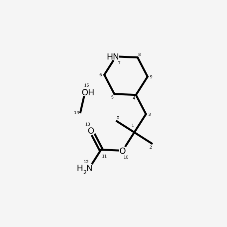 CC(C)(CC1CCNCC1)OC(N)=O.CO